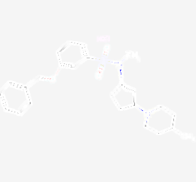 CC1CCN([C@H]2CC[C@@H](N(C)S(=O)(=O)c3cccc(OCc4ccccc4)c3)C2)CC1.Cl